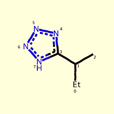 [CH2]CC(C)c1nnn[nH]1